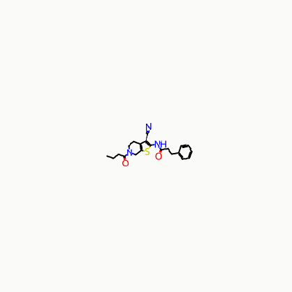 CCCC(=O)N1CCc2c(sc(NC(=O)CCc3ccccc3)c2C#N)C1